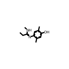 CCC(=Nc1cc(C)c(O)cc1C)NC